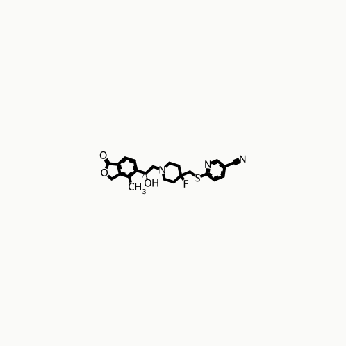 Cc1c([C@@H](O)CN2CCC(F)(CSc3ccc(C#N)cn3)CC2)ccc2c1COC2=O